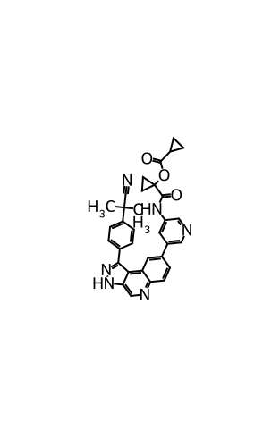 CC(C)(C#N)c1ccc(-c2n[nH]c3cnc4ccc(-c5cncc(NC(=O)C6(OC(=O)C7CC7)CC6)c5)cc4c23)cc1